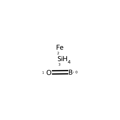 [B]=O.[Fe].[SiH4]